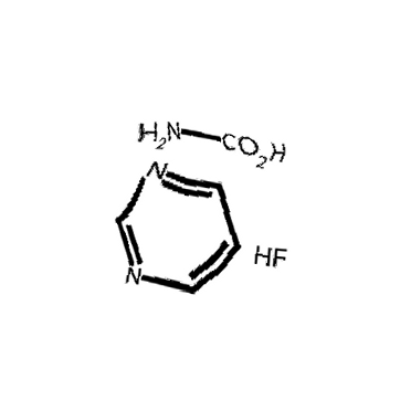 F.NC(=O)O.c1cncnc1